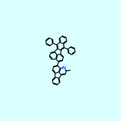 Cc1cc2c3c(ccc(-c4ccc5c6c(cccc46)-c4c-5c(-c5ccccc5)c5ccccc5c4-c4ccccc4)c3n1)-c1ccccc1-2